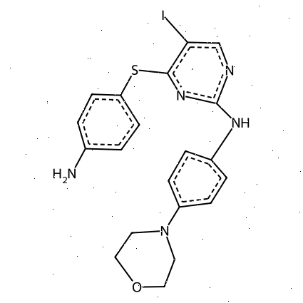 Nc1ccc(Sc2nc(Nc3ccc(N4CCOCC4)cc3)ncc2I)cc1